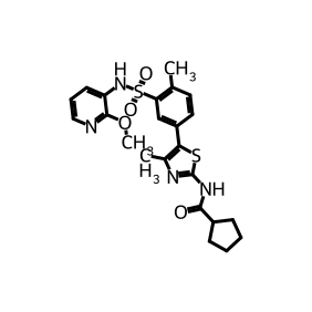 COc1ncccc1NS(=O)(=O)c1cc(-c2sc(NC(=O)C3CCCC3)nc2C)ccc1C